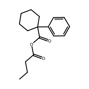 CCCC(=O)OC(=O)C1(c2ccccc2)CCCCC1